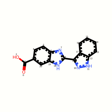 O=C(O)c1ccc2nc(-c3n[nH]c4ccccc34)[nH]c2c1